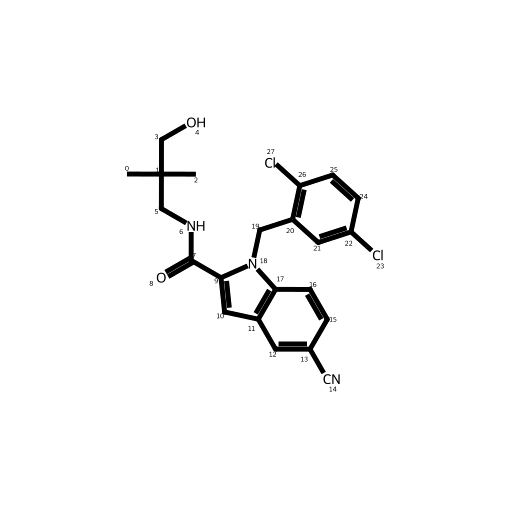 CC(C)(CO)CNC(=O)c1cc2cc(C#N)ccc2n1Cc1cc(Cl)ccc1Cl